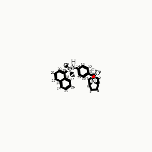 CCN1CC2CCC(C1)N2C(=O)c1ccc(NS(=O)(=O)c2cccc3ccccc23)cc1